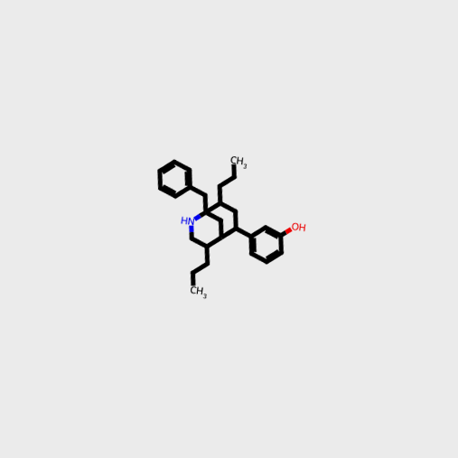 CCCC1CNC2(Cc3ccccc3)CC1C(c1cccc(O)c1)CC2CCC